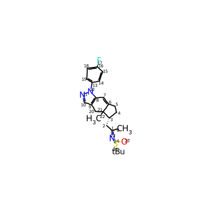 C/C(C[C@H]1CCC2=Cc3c(cnn3-c3ccc(F)cc3)CC21C)=N\[S+]([O-])C(C)(C)C